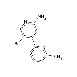 Cc1cccc(-c2cc(N)ncc2Br)n1